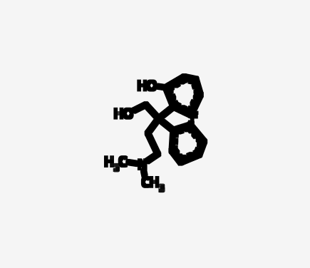 CN(C)CCC(CO)(c1ccccc1O)c1ccccc1F